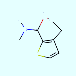 CN(C)C1OCCc2ccsc21.Cl